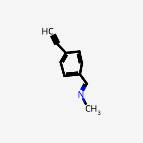 C#Cc1ccc(C=NC)cc1